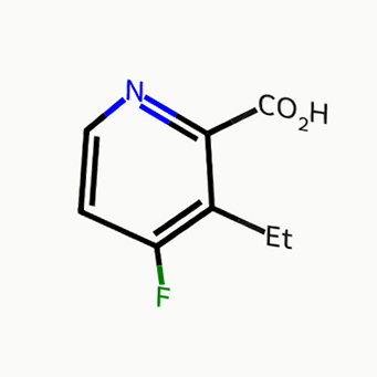 CCc1c(F)ccnc1C(=O)O